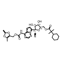 C=C1OC(C)=C(COC(=O)Nc2ncnn3c([C@]4(C#N)O[C@H](COC(=O)C(C)(C)C5CCCCC5)[C@@H](O)[C@H]4O)ccc23)O1